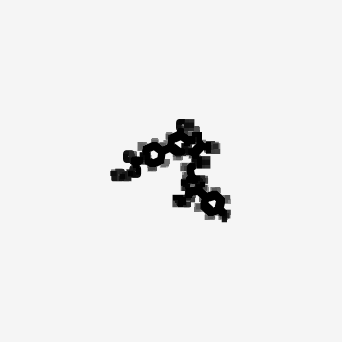 CCc1nc2c(C)cc(C3CCN(C(=O)OC(C)(C)C)CC3)cn2c1NCc1nc(-c2ccc(F)cc2)c(C#N)s1